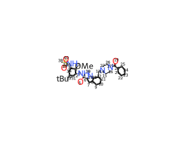 COc1c(NC(=O)c2cc3cccc(CN4CCN(C(=O)c5ccccc5)CC4)c3n2C)cc(C(C)(C)C)cc1NS(C)(=O)=O